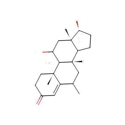 CC1C[C@H]2[C@@H]3CC[C@H](O)[C@@]3(C)CC(O)[C@@H]2[C@@]2(C)CCC(=O)C=C12